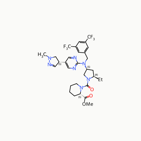 CC[C@@H]1C[C@H](N(Cc2cc(C(F)(F)F)cc(C(F)(F)F)c2)c2ncc([C@@H]3C=NN(C)C3)cn2)CN1C(=O)N1CCCC[C@H]1C(=O)OC